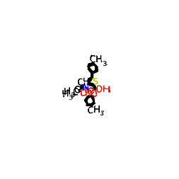 CCOP(=O)(C1CCC(C)CC1)N(c1cc(-c2ccc(C)cc2)sc1C(=O)O)C(C)C